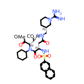 COC(=O)[C@H](CC(=O)O)N(C(=O)[C@H](CC(=O)NC[C@@H]1CCCN(C(=N)N)C1)NS(=O)(=O)c1ccc2ccccc2c1)C1CCCCC1